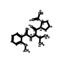 COc1ccccc1C(=O)NC(C(=O)N1CCC[C@H]1C(=O)O)C(C)C